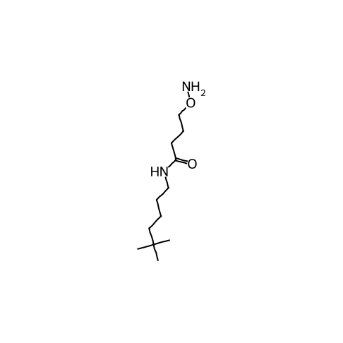 CC(C)(C)CCCCNC(=O)CCCON